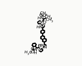 COC(=O)N[C@H](C(=O)N1CCC[C@H]1c1ncc(-c2ccc(-c3ccc4cc(-c5cnc([C@@H]6CCCN6C(=O)[C@H](NC(=O)OC)c6ccccc6)[nH]5)ccc4c3)cc2)[nH]1)C(C)C